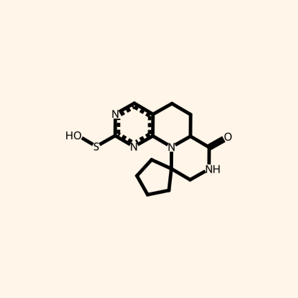 O=C1NCC2(CCCC2)N2c3nc(SO)ncc3CCC12